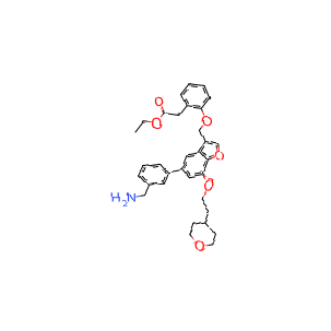 CCOC(=O)Cc1ccccc1OCc1coc2c(OCCC3CCOCC3)cc(-c3cccc(CN)c3)cc12